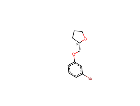 Brc1cccc(OC[C@@H]2CCCO2)c1